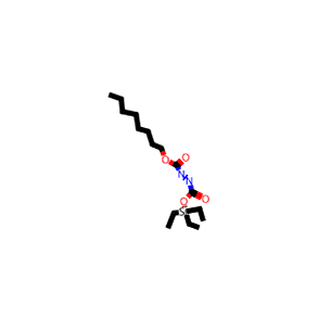 CCCCCCCCOC(=O)N=NC(=O)O[Si](CC)(CC)CC